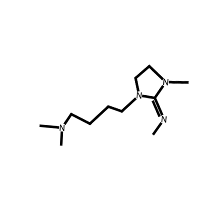 CN=C1N(C)CCN1CCCCN(C)C